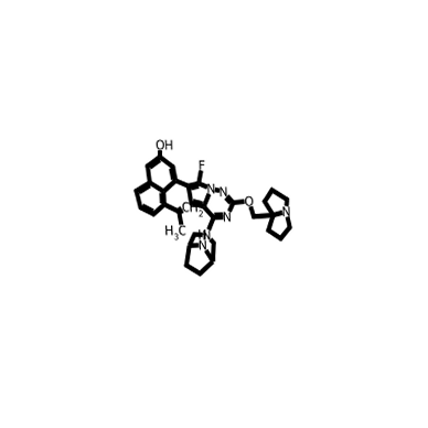 C=C(C)c1cccc2cc(O)cc(-c3cc4c(N5CC6CCC(C5)N6)nc(OCC56CCCN5CCC6)nn4c3F)c12